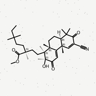 CCC(C)(C)CC[C@@](C)(CC[C@]1(C)[C@](C)(O)C(=O)C=C2[C@@]3(C)C=C(C#N)C(=O)C(C)(C)[C@@H]3CC[C@]21C)C(=O)OC